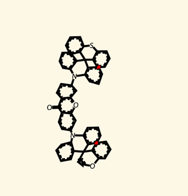 O=c1c2ccc(N3c4ccccc4C4(c5ccccc5Oc5ccccc54)c4ccccc43)cc2oc2cc(N3c4ccccc4C4(c5ccccc5Sc5ccccc54)c4ccccc43)ccc12